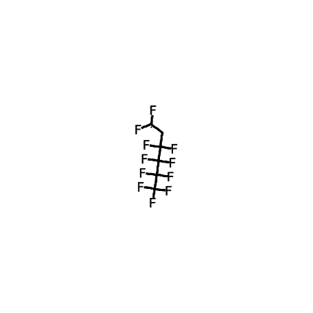 F[C](F)CC(F)(F)C(F)(F)C(F)(F)C(F)(F)F